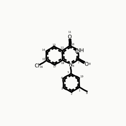 Cc1cccc(-n2c(=O)[nH]c(=O)c3ccc(Cl)cc32)c1